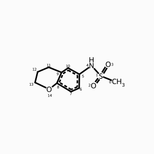 CS(=O)(=O)Nc1ccc2c(c1)CCCO2